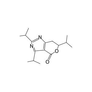 CC(C)c1nc2c(c(C(C)C)n1)C(=O)OC(C(C)C)C2